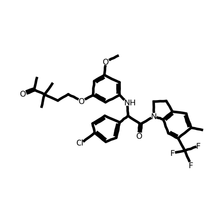 COc1cc(NC(C(=O)N2CCc3cc(C)c(C(F)(F)F)cc32)c2ccc(Cl)cc2)cc(OCCC(C)(C)C(C)=O)c1